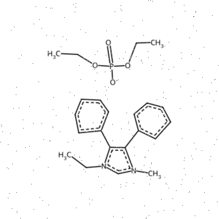 CCOP(=O)([O-])OCC.CC[n+]1cn(C)c(-c2ccccc2)c1-c1ccccc1